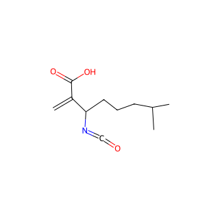 C=C(C(=O)O)C(CCCC(C)C)N=C=O